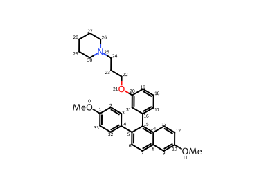 COc1ccc(-c2ccc3cc(OC)ccc3c2-c2cccc(OCCCN3CCCCC3)c2)cc1